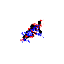 NCCCCC(NC(=O)C(CCCN=C(N)N)NC(=O)C(CO)NC(=O)C(CCCN=C(N)N)NC(=O)C(N)Cc1ccc(O)cc1)C(=O)NC(Cc1ccc(O)cc1)C(=O)NC(CO)C(=O)NC(CO)C(=O)NC(Cc1c[nH]c2ccccc12)C(=O)NC(Cc1ccc(O)cc1)C(=O)O